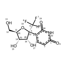 O=c1ccn([C@]2(C(F)(F)F)O[C@H](CO)[C@@H](O)[C@H]2O)c(=O)[nH]1